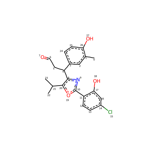 Cc1cc(C(CC=O)c2nc(-c3ccc(Cl)cc3O)oc2C(C)C)ccc1O